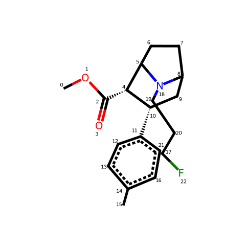 COC(=O)[C@@H]1C2CCC(C[C@@H]1c1ccc(C)cc1)N2CCCF